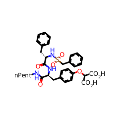 CCCCCNC(=O)[C@H](Cc1ccc(OC(C(=O)O)C(=O)O)cc1)NC(=O)[C@H](Cc1ccccc1)NS(=O)(=O)Cc1ccccc1